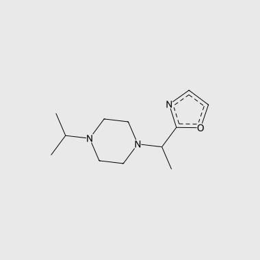 CC(C)N1CCN(C(C)c2ncco2)CC1